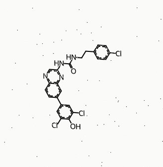 O=C(NCCc1ccc(Cl)cc1)Nc1cnc2ccc(-c3cc(Cl)c(O)c(Cl)c3)cc2n1